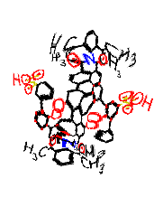 CC(C)c1cccc(C(C)C)c1N1C(=O)c2ccc3c4cc(Oc5ccc(S(=O)(=O)O)cc5-c5ccccc5)c5c6c(Oc7ccccc7-c7ccccc7)cc7c8c(cc(Oc9ccccc9-c9ccccc9)c(c9c(Oc%10ccc(S(=O)(=O)O)cc%10-c%10ccccc%10)cc(c%10ccc(c2c3%10)C1=O)c4c59)c86)C(=O)N(c1c(C(C)C)cccc1C(C)C)C7=O